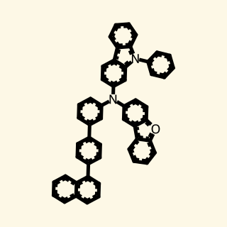 c1ccc(-n2c3ccccc3c3ccc(N(c4cccc(-c5ccc(-c6cccc7ccccc67)cc5)c4)c4ccc5oc6ccccc6c5c4)cc32)cc1